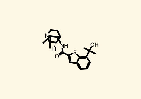 CC(C)(O)c1cccc2cc(C(=O)N[C@@H]3C4CCN(CC4)C3(C)C)sc12